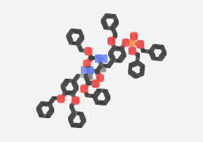 O=C(N[C@@H](Cc1ccc(OP(=O)(OCc2ccccc2)OCc2ccccc2)c(OCc2ccccc2)c1)C(=O)N[C@@H](Cc1ccc(OCc2ccccc2)c(OCc2ccccc2)c1)C(=O)OCc1ccccc1)OCc1ccccc1